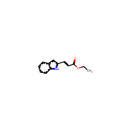 CCOC(=O)C=Cc1cc2ccccc2[nH]1